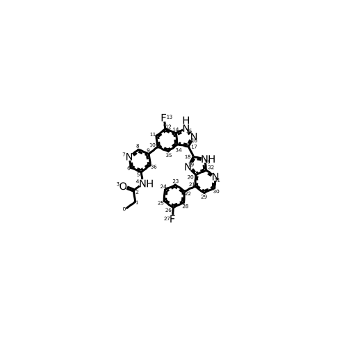 CCC(=O)Nc1cncc(-c2cc(F)c3[nH]nc(-c4nc5c(-c6cccc(F)c6)ccnc5[nH]4)c3c2)c1